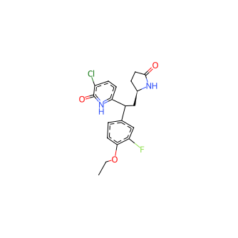 CCOc1ccc(C(C[C@H]2CCC(=O)N2)c2ccc(Cl)c(=O)[nH]2)cc1F